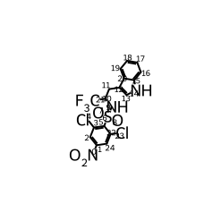 O=[N+]([O-])c1cc(Cl)c(S(=O)(=O)NC(Cc2c[nH]c3ccccc23)C(F)(F)F)c(Cl)c1